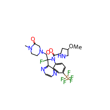 COC1CNC(C(=O)N(c2ccc(S(F)(F)(F)(F)F)cc2)C(F)(C(=O)N2CCN(C)C(=O)C2)c2cnccn2)C1